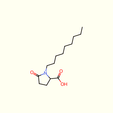 CCCCCCCCCN1C(=O)CCC1C(=O)O